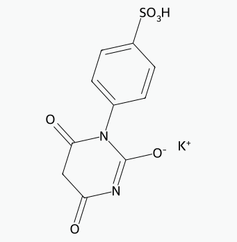 O=C1CC(=O)N(c2ccc(S(=O)(=O)O)cc2)C([O-])=N1.[K+]